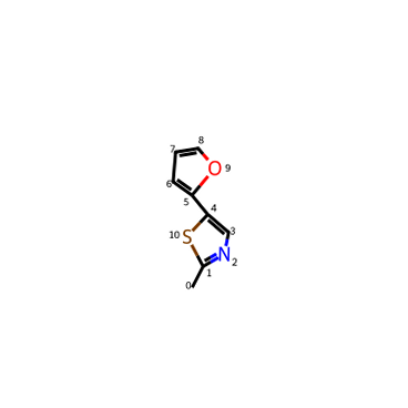 Cc1ncc(-c2ccco2)s1